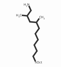 CCCCCCCCCCCCCCC(C)CC(C)CN